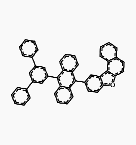 c1ccc(-c2cc(-c3ccccc3)cc(-c3c4ccccc4c(-c4ccc5oc6ccc7ccccc7c6c5c4)c4ccccc34)c2)cc1